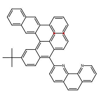 CC(C)(C)c1ccc2c(-c3ccc4ccc5cccnc5c4n3)c3ccccc3c(-c3cc4ccccc4cc3-c3ccccc3)c2c1